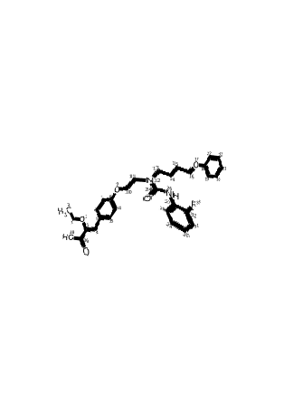 CCOC(Cc1ccc(OCCN(CCCCOc2ccccc2)C(=O)Nc2ccccc2F)cc1)C(=O)O